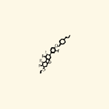 CCCC1CCC(COc2ccc(-c3cc4oc5cc(OCC)c(F)c(F)c5c4c(F)c3F)cc2F)CC1